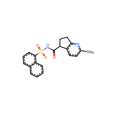 COc1ccc2c(n1)CCC2C(=O)NS(=O)(=O)c1cccc2ccccc12